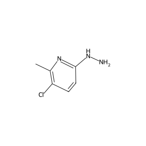 Cc1nc(NN)ccc1Cl